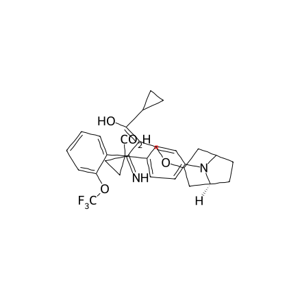 N=C(/C(COC1CC2CC[C@@H](C1)N2c1ccc(C2(C(=O)O)CC2)cc1)=C(\O)C1CC1)c1ccccc1OC(F)(F)F